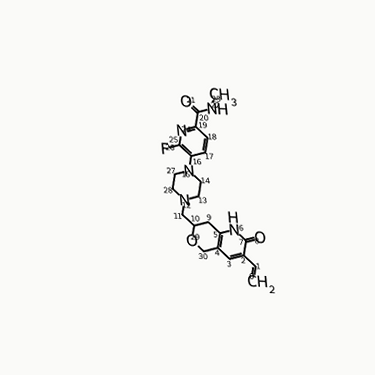 C=Cc1cc2c([nH]c1=O)CC(CN1CCN(c3ccc(C(=O)NC)nc3F)CC1)OC2